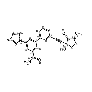 CN1CC[C@@](O)(C#Cc2cccc(-c3cc(-n4cncn4)cc(C(N)=O)n3)c2)C1=O